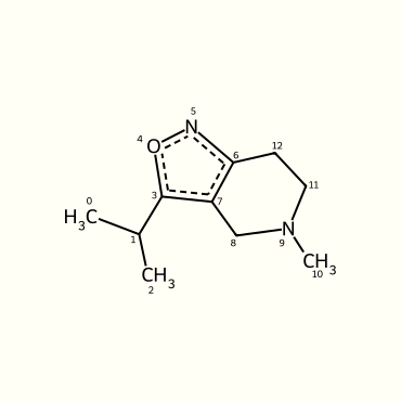 CC(C)c1onc2c1CN(C)CC2